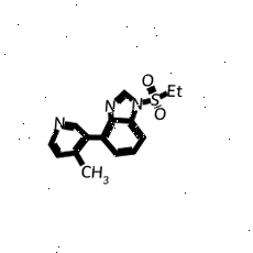 CCS(=O)(=O)n1cnc2c(-c3cnccc3C)cccc21